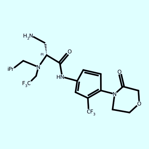 CC(C)CN(CC(F)(F)F)[C@H](CN)C(=O)Nc1ccc(N2CCOCC2=O)c(C(F)(F)F)c1